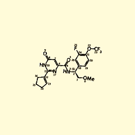 COC[C@@H](NC(=O)c1cc(=O)[nH]c(C2=CCCC2)n1)c1ccc(OC(F)(F)F)c(F)c1